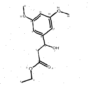 CCOC(=O)CC(O)c1cc(OC)cc(OC)c1